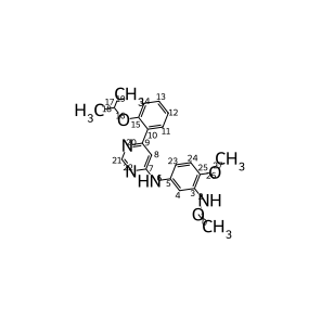 CONc1cc(Nc2cc(-c3ccccc3OC(C)C)ncn2)ccc1OC